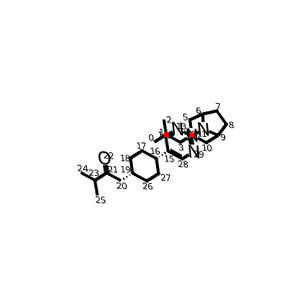 CC(C)CN1CC2CCC(C1)N2c1ncc([C@H]2CC[C@@H](CC(=O)C(C)C)CC2)cn1